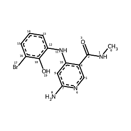 CNC(=O)c1cnc(N)cc1Nc1cccc(Br)c1O